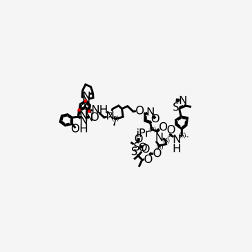 Cc1ncsc1-c1ccc([C@H](C)NC(=O)[C@@H]2C[C@@H](OC(=O)OC(C)C(C)(C)SS(C)(=O)=O)CN2C(=O)[C@@H](c2cc(OCCC3CCN(CCOc4cc(N5C6CCC5CN(c5cc(-c7ccccc7O)nnc5N)C6)ccn4)[C@H](C)C3)no2)C(C)C)cc1